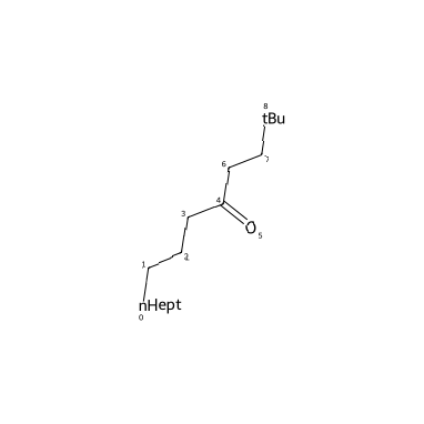 CCCCCCCCCCC(=O)CCC(C)(C)C